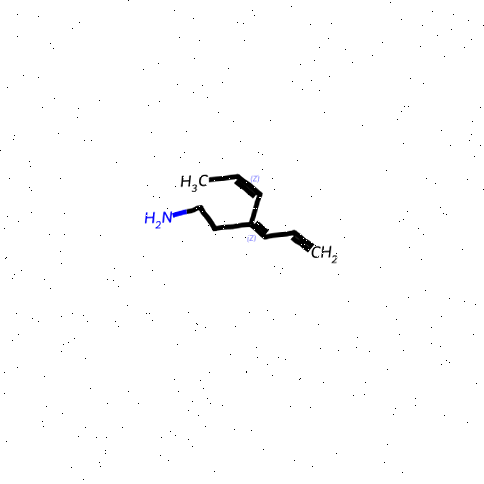 C=C/C=C(\C=C/C)CCN